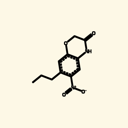 CCCc1cc2c(cc1[N+](=O)[O-])NC(=O)CO2